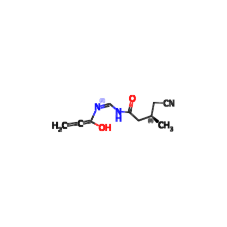 C=C=C(O)/N=C\NC(=O)C[C@H](C)CC#N